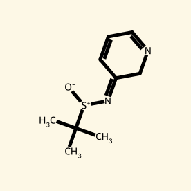 CC(C)(C)[S+]([O-])N=C1C=CC=NC1